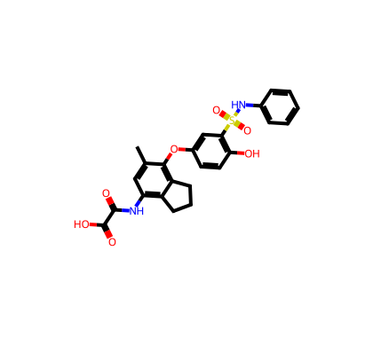 Cc1cc(NC(=O)C(=O)O)c2c(c1Oc1ccc(O)c(S(=O)(=O)Nc3ccccc3)c1)CCC2